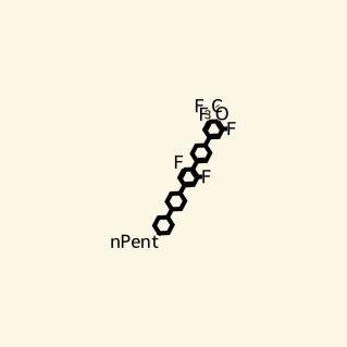 CCCCCC1CCC(C2CCC(c3cc(F)c(C4=CCC(c5cc(F)c(OC(F)(F)F)c(F)c5)CC4)c(F)c3)CC2)CC1